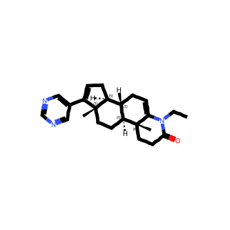 CCN1C(=O)CC[C@@]2(C)C1=CC[C@@H]1[C@@H]2CC[C@]2(C)C(c3cncnc3)=CC[C@@H]12